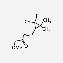 COCC(=O)OCC1C(C)(C)C1(Cl)Cl